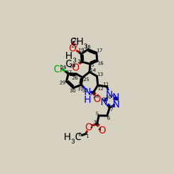 CCOC(=O)CCc1nnn(CC2CC(c3cccc(OC)c3OC)c3cc(Cl)ccc3NC2=O)n1